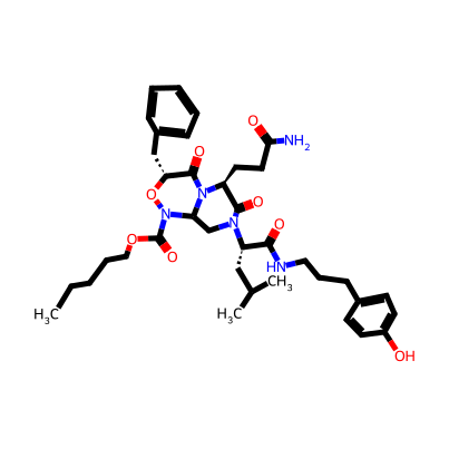 CCCCCOC(=O)N1O[C@H](Cc2ccccc2)C(=O)N2C1CN([C@@H](CC(C)C)C(=O)NCCCc1ccc(O)cc1)C(=O)[C@@H]2CCC(N)=O